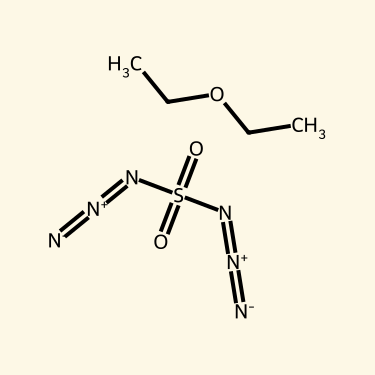 CCOCC.[N-]=[N+]=NS(=O)(=O)N=[N+]=[N-]